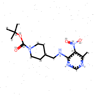 Cc1ncnc(NCC2CCN(C(=O)OC(C)(C)C)CC2)c1[N+](=O)[O-]